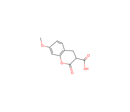 COc1ccc2c(c1)OC(=O)C(C(=O)O)C2